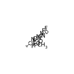 COC(=O)C(c1cc(-c2ccc(C3CC3)cc2C(F)(F)F)no1)n1cc2nc(-c3cccc(F)c3F)nc-2cn1